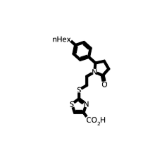 CCCCCCc1ccc(C2CCC(=O)N2CCSc2nc(C(=O)O)cs2)cc1